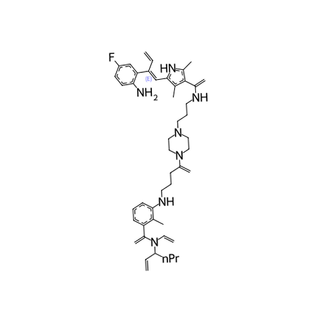 C=C/C(=C\c1[nH]c(C)c(C(=C)NCCCN2CCN(C(=C)CCCNc3cccc(C(=C)N(C=C)C(C=C)CCC)c3C)CC2)c1C)c1cc(F)ccc1N